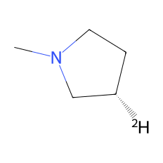 [2H][C@H]1CCN(C)C1